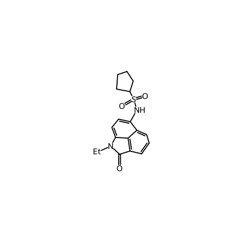 CCN1C(=O)c2cccc3c(NS(=O)(=O)C4CCCC4)ccc1c23